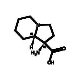 N[C@@]1(C(=O)O)CCN2CCCC[C@@H]21